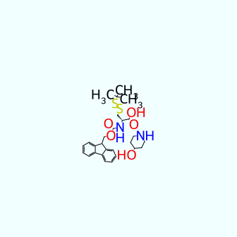 CC(C)(C)SSC[C@H](NC(=O)OCC1c2ccccc2-c2ccccc21)C(=O)O.OC1CCNCC1